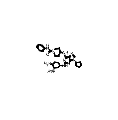 Cl.Cl.NC1CCC(Nc2nc(NC3CCN(C(=O)Nc4ccccc4)CC3)c3ncn(C4CCCC4)c3n2)CC1